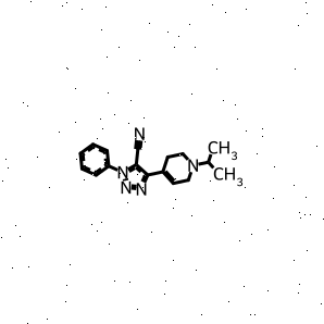 CC(C)N1CC=C(c2nnn(-c3ccccc3)c2C#N)CC1